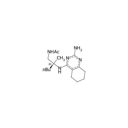 CCCC[C@](C)(CNC(C)=O)Nc1nc(N)nc2c1CCCC2